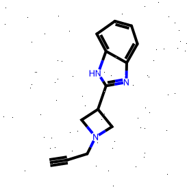 C#CCN1CC(c2nc3ccccc3[nH]2)C1